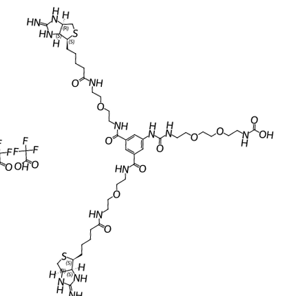 N=C1N[C@H]2[C@H](CS[C@H]2CCCCC(=O)NCCOCCNC(=O)c2cc(NC(=O)NCCOCCOCCNC(=O)O)cc(C(=O)NCCOCCNC(=O)CCCC[C@@H]3SC[C@@H]4NC(=N)N[C@@H]43)c2)N1.O=C(O)C(F)(F)F.O=C(O)C(F)(F)F